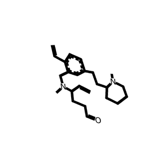 C=Cc1ccc(CCC2CCCCN2C)cc1CN(C)C(C=C)CCC=O